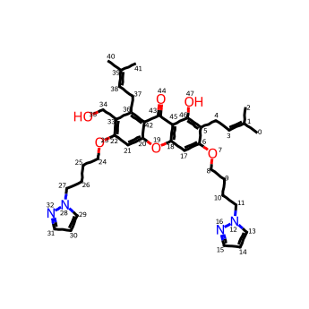 CC(C)=CCc1c(OCCCCn2cccn2)cc2oc3cc(OCCCCn4cccn4)c(CO)c(CC=C(C)C)c3c(=O)c2c1O